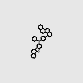 c1ccc(N(c2ccc(-c3cccc4ccc5c6ccccc6ccc5c34)cc2)c2ccc3sc4c5ccccc5ccc4c3c2)cc1